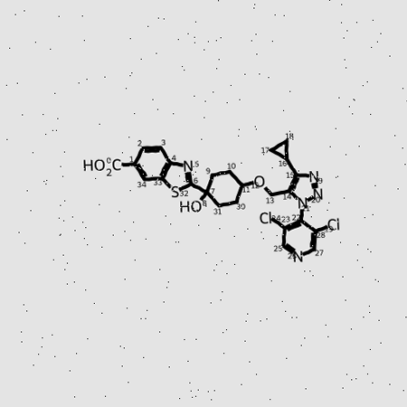 O=C(O)c1ccc2nc(C3(O)CCC(OCc4c(C5CC5)nnn4-c4c(Cl)cncc4Cl)CC3)sc2c1